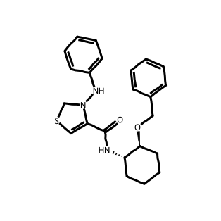 O=C(N[C@H]1CCCC[C@@H]1OCc1ccccc1)C1=CSCN1Nc1ccccc1